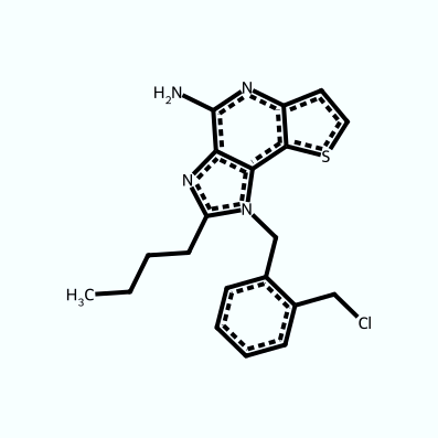 CCCCc1nc2c(N)nc3ccsc3c2n1Cc1ccccc1CCl